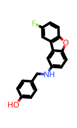 Oc1ccc(CNc2ccc3oc4ccc(F)cc4c3c2)cc1